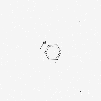 CCI.c1ccccc1